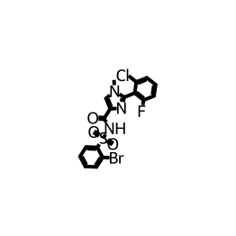 Cn1cc(C(=O)NS(=O)(=O)c2ccccc2Br)nc1-c1c(F)cccc1Cl